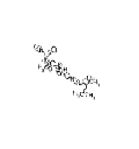 C=C(C)CCC1=C(CN2CCN(c3ccc(C(=O)NS(=O)(=O)c4ccc(N[C@H](CCN5CCOCC5)CSc5ccccc5)c(S(=O)(=O)C(F)(F)F)c4)cc3)CC2)CCC(C)(C)C1